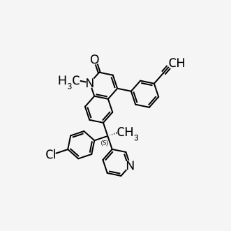 C#Cc1cccc(-c2cc(=O)n(C)c3ccc([C@](C)(c4ccc(Cl)cc4)c4cccnc4)cc23)c1